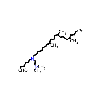 C/C(=C\CCCCCCN(CCCCCC=O)CCN(C)C)CCCC(C)CCCC(C)CCCC(C)C